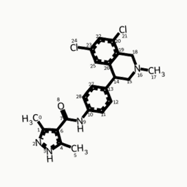 Cc1n[nH]c(C)c1C(=O)Nc1ccc(C2CN(C)Cc3c(Cl)cc(Cl)cc32)cc1